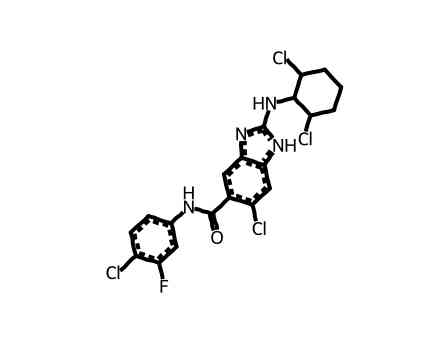 O=C(Nc1ccc(Cl)c(F)c1)c1cc2nc(NC3C(Cl)CCCC3Cl)[nH]c2cc1Cl